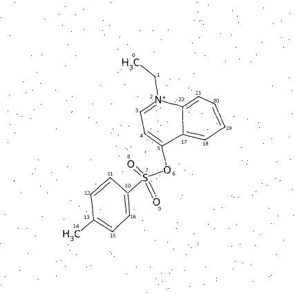 CC[n+]1ccc(OS(=O)(=O)c2ccc(C)cc2)c2ccccc21